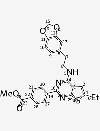 CCc1cc2c(NCCc3ccc4c(c3)OCO4)nc(-c3ccc(C(=O)OC)cc3)nc2s1